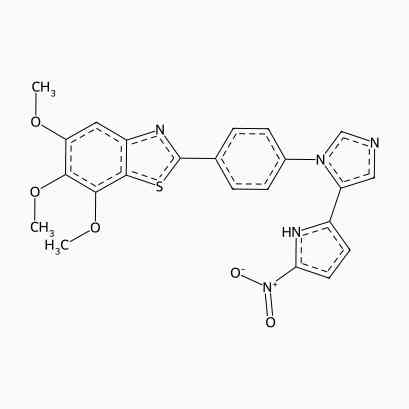 COc1cc2nc(-c3ccc(-n4cncc4-c4ccc([N+](=O)[O-])[nH]4)cc3)sc2c(OC)c1OC